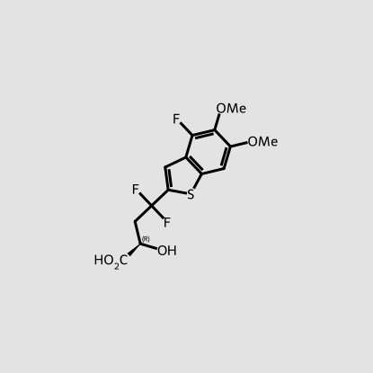 COc1cc2sc(C(F)(F)C[C@@H](O)C(=O)O)cc2c(F)c1OC